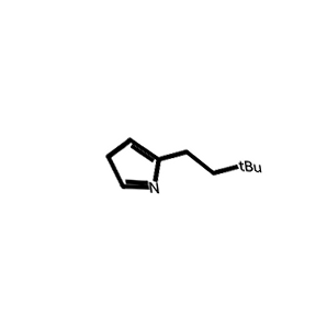 CC(C)(C)CCC1=CCC=N1